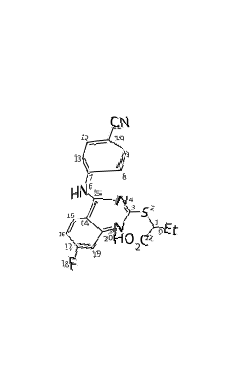 CCC(Sc1nc(Nc2ccc(C#N)cc2)c2ccc(F)cc2n1)C(=O)O